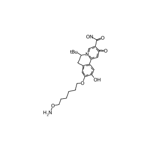 CC(C)(C)C1Cc2cc(OCCCCCCON)c(O)cc2-c2cc(=O)c(C(=O)N=O)cn21